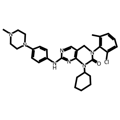 Cc1cccc(Cl)c1N1Cc2cnc(Nc3ccc(N4CCN(C)CC4)cc3)nc2N(C2CCCCC2)C1=O